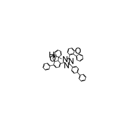 CC12C=CC=C[C@@H]1OC1C(c3ccccc3)=CC=C(c3nc(-c4ccc(-c5ccccc5)cc4)nc(-c4cccc5oc6ccccc6c45)n3)C12